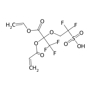 C=COC(=O)C(OCC(F)(F)S(=O)(=O)O)(OC(=O)C=C)C(F)(F)F